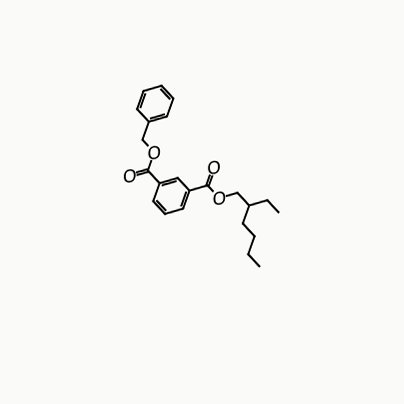 CCCCC(CC)COC(=O)c1cccc(C(=O)OCc2ccccc2)c1